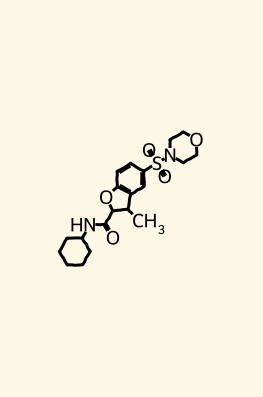 CC1c2cc(S(=O)(=O)N3CCOCC3)ccc2OC1C(=O)NC1CCCCC1